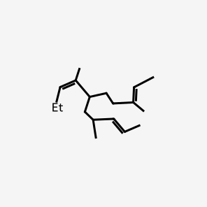 [CH2]CC=C(C)C(CCC(C)=CC)CC(C)C=CC